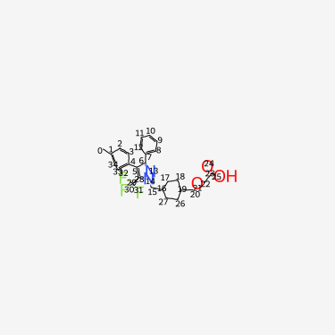 Cc1ccc(-c2c(-c3ccccc3)nn(CC3CCC(COCC(=O)O)CC3)c2C(F)(F)F)cc1